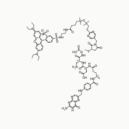 CCN(CC)c1ccc2c(-c3ccc(S(=O)(=O)NCCNC(=O)CCC[Si](C)(C)O[Si](C)(C)CSc4ncc(CN5C(=O)CC(SC[C@H](NC(=O)[C@H](CN)NC(=O)[C@H](CC(=O)O)NC(=O)CC[C@@H](C)NC(=O)c6ccc(NCc7cnc8nc(N)[nH]c(=O)c8n7)cc6)C(=O)O)C5=O)cn4)cc3S(=O)(=O)[O-])c3ccc(=[N+](CC)CC)cc-3oc2c1